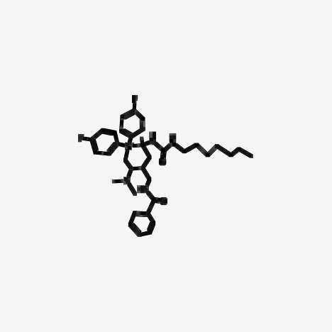 CCCCCCCNC(=O)NC1(C)CC(CNC(=O)c2ccccc2)C(N(C)C)C[N+]1(c1ccc(F)cc1)c1ccc(F)cc1